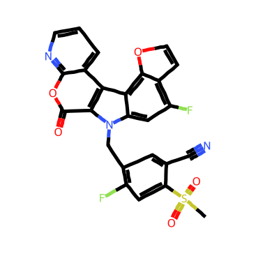 CS(=O)(=O)c1cc(F)c(Cn2c3cc(F)c4ccoc4c3c3c4cccnc4oc(=O)c32)cc1C#N